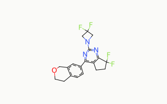 FC1(F)CN(c2nc(-c3ccc4c(c3)COCC4)c3c(n2)C(F)(F)CC3)C1